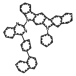 c1ccc(-n2c3cc4ccccc4cc3c3cc4c5ccccc5n(-c5nc(-c6ccc(-c7cccc8ccccc78)cc6)c6ccccc6n5)c4cc32)cc1